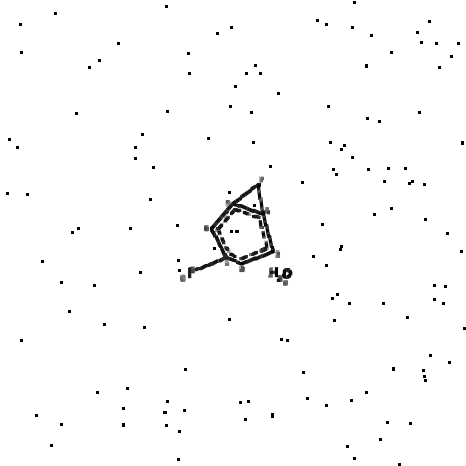 Fc1ccc2c(c1)C2.O